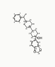 CC(c1ccccc1)N1CCN(C2CCC(O)(c3ccc4c(c3)OCO4)CC2)CC1